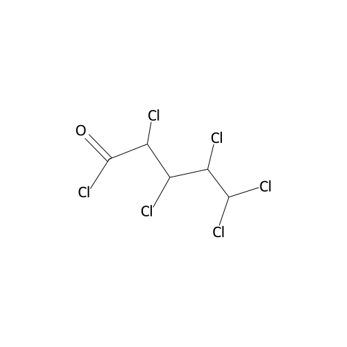 O=C(Cl)C(Cl)C(Cl)C(Cl)C(Cl)Cl